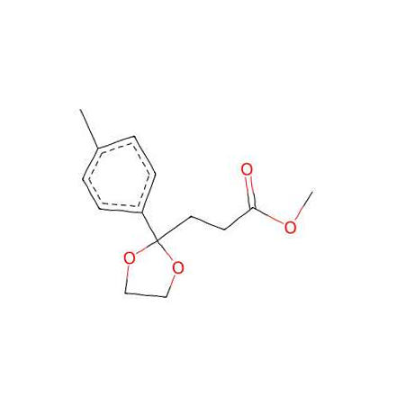 COC(=O)CCC1(c2ccc(C)cc2)OCCO1